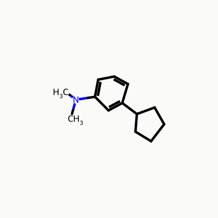 CN(C)c1cccc(C2CCCC2)c1